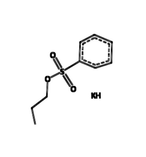 CCCOS(=O)(=O)c1ccccc1.[KH]